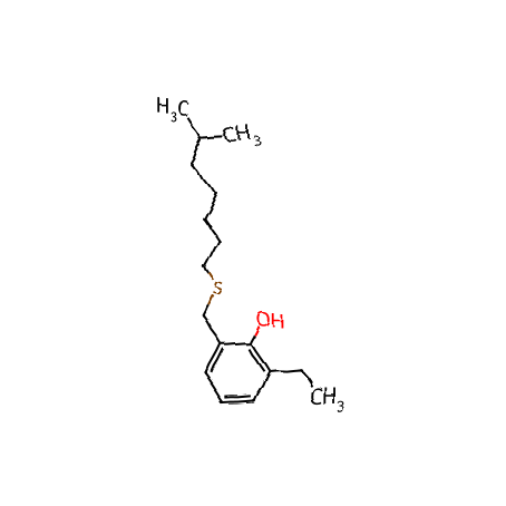 CCc1cccc(CSCCCCCC(C)C)c1O